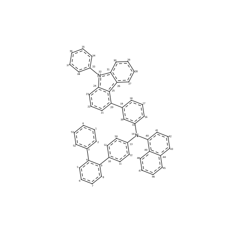 c1ccc(-c2ccccc2-c2ccc(N(c3cccc(-c4cccc5c4c4ccccc4n5-c4ccccc4)c3)c3cccc4ccccc34)cc2)cc1